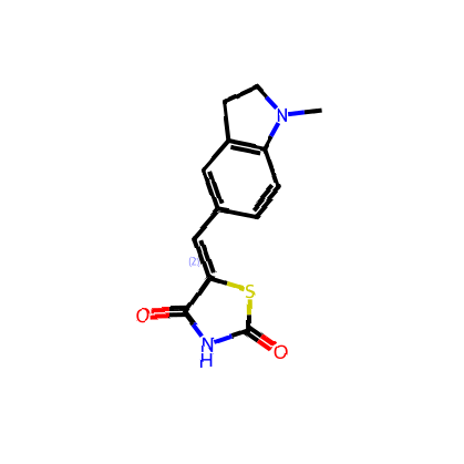 CN1CCc2cc(/C=C3\SC(=O)NC3=O)ccc21